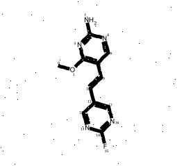 COc1nc(N)ncc1/C=C/c1cnc(F)nc1